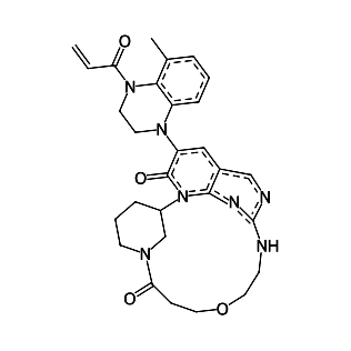 C=CC(=O)N1CCN(c2cc3cnc4nc3n(c2=O)C2CCCN(C2)C(=O)CCOCCN4)c2cccc(C)c21